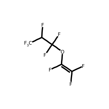 FC(F)=C(F)OC(F)(F)C(F)C(F)(F)F